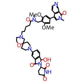 COc1cc(-c2cn(C)c(=O)c3cnccc23)cc(OC)c1CN(C)C(=O)CCCCN1CCOC2(CCN(c3ccc4c(c3)C(=O)N(C3CCC(=O)NC3=O)C4O)CC2)C1